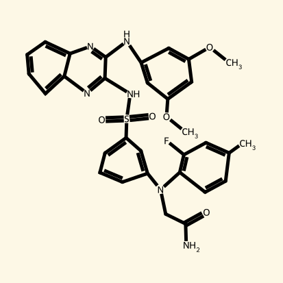 COc1cc(Nc2nc3ccccc3nc2NS(=O)(=O)c2cccc(N(CC(N)=O)c3ccc(C)cc3F)c2)cc(OC)c1